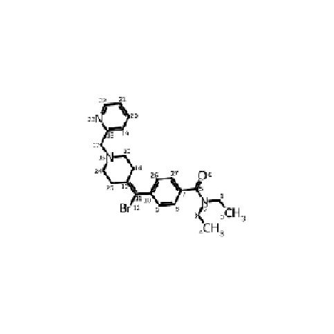 CCN(CC)C(=O)c1ccc(C(Br)=C2CCN(Cc3ccccn3)CC2)cc1